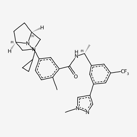 Cc1ccc(N2C[C@H]3CC[C@@H](C2)N3CC2CC2)cc1C(=O)N[C@H](C)c1cc(-c2cnn(C)c2)cc(C(F)(F)F)c1